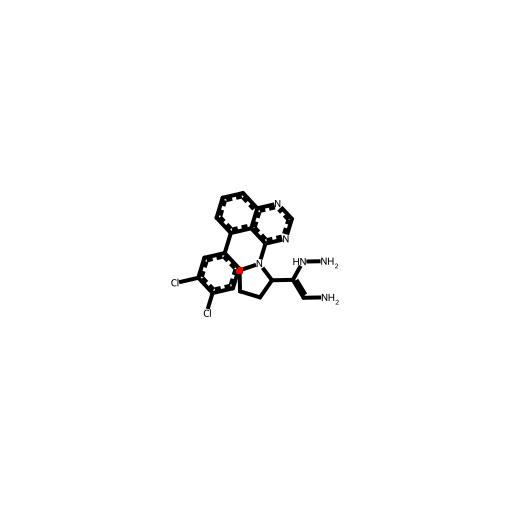 N/C=C(\NN)C1CCCN1c1ncnc2cccc(-c3ccc(Cl)c(Cl)c3)c12